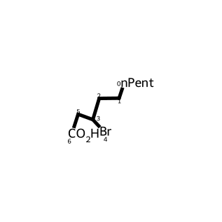 CCCCCCCC(Br)CC(=O)O